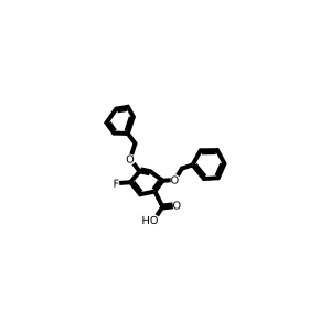 O=C(O)c1cc(F)c(OCc2ccccc2)cc1OCc1ccccc1